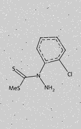 CSC(=S)N(N)c1ccccc1Cl